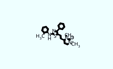 Cc1ccccc1Nc1nc(-c2ccccc2)c(C=Cc2cc[n+](C)c(=O)n2C)s1